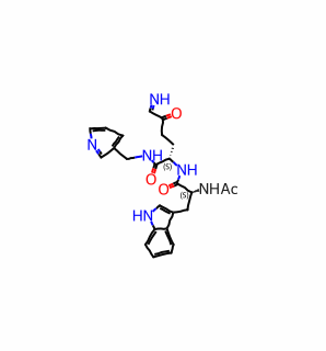 CC(=O)N[C@@H](Cc1c[nH]c2ccccc12)C(=O)N[C@@H](CCC(=O)C=N)C(=O)NCc1cccnc1